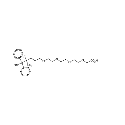 CC(C)(CCCOCCOCCOCCOCC(=O)O)[Si](O)(c1ccccc1)c1ccccc1